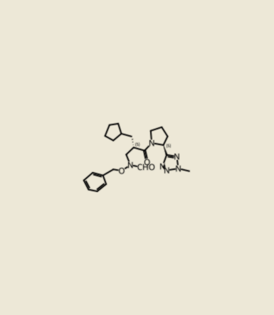 Cn1nnc([C@@H]2CCCN2C(=O)[C@@H](CC2CCCC2)CN(C=O)OCc2ccccc2)n1